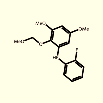 COCOc1c(OC)cc(OC)cc1Pc1ccccc1F